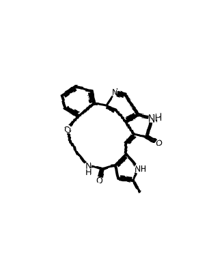 Cc1cc2c([nH]1)/C=C1\C(=O)Nc3cnc(cc31)-c1ccccc1OCCNC2=O